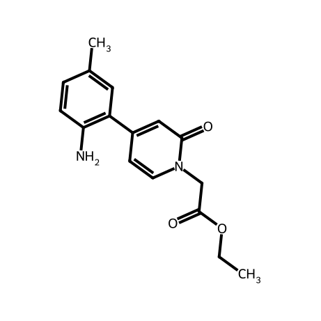 CCOC(=O)Cn1ccc(-c2cc(C)ccc2N)cc1=O